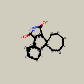 O=C1NC(=O)c2c1c1c(c3ccccc23)CCCCCC1